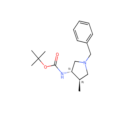 C[C@@H]1CN(Cc2ccccc2)C[C@H]1NC(=O)OC(C)(C)C